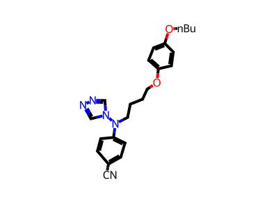 CCCCOc1ccc(OCCCCN(c2ccc(C#N)cc2)n2cnnc2)cc1